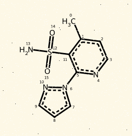 Cc1ccnc(-n2cccn2)c1S(N)(=O)=O